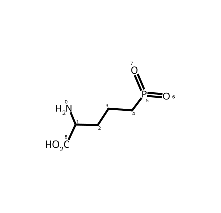 NC(CCCP(=O)=O)C(=O)O